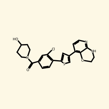 O=C(c1ccc(-c2cc(-c3ccnc4c3OCCN4)cs2)c(Cl)c1)N1CCC(O)CC1